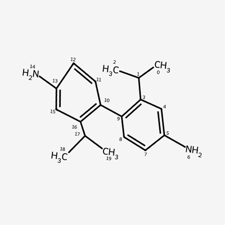 CC(C)c1cc(N)ccc1-c1ccc(N)cc1C(C)C